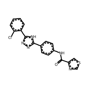 O=C(Nc1ccc(-c2nnc(-c3ccccc3Cl)[nH]2)cc1)c1cscn1